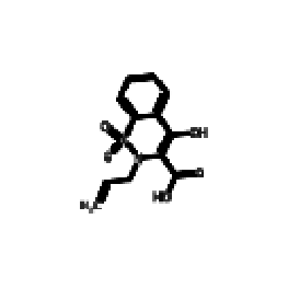 C=CCN1C(C(=O)O)=C(O)c2ccccc2S1(=O)=O